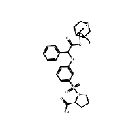 O=C(O[C@H]1CN2CCC1CC2)C(Nc1cccc(S(=O)(=O)N2CCC[C@H]2C(=O)O)c1)c1ccccc1